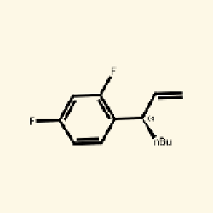 C=C[C@@H](CCCC)c1ccc(F)cc1F